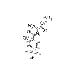 CCOC(=O)C(N)=NN(Cl)c1ccc(C(F)(F)F)cc1Cl